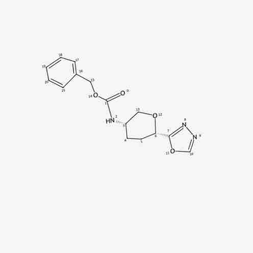 O=C(N[C@H]1CC[C@@H](c2nnco2)OC1)OCc1ccccc1